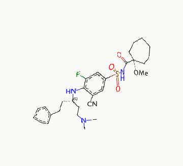 COC1(C(=O)NS(=O)(=O)c2cc(F)c(N[C@@H](CCc3ccccc3)CCN(C)C)c(C#N)c2)CCCCCC1